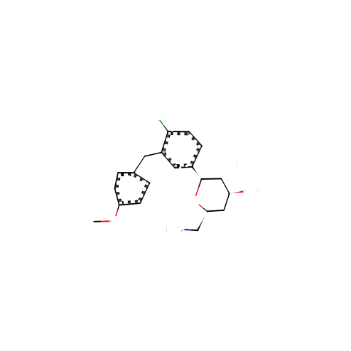 COc1ccc(Cc2cc([C@@H]3O[C@H](CN)[C@@H](O)[C@H](O)[C@H]3O)ccc2Cl)cc1